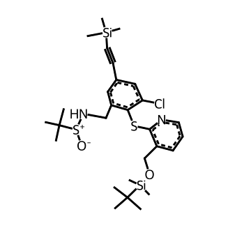 CC(C)(C)[S+]([O-])NCc1cc(C#C[Si](C)(C)C)cc(Cl)c1Sc1ncccc1CO[Si](C)(C)C(C)(C)C